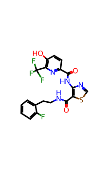 O=C(Nc1ncsc1C(=O)NCCc1ccccc1F)c1ccc(O)c(C(F)(F)F)n1